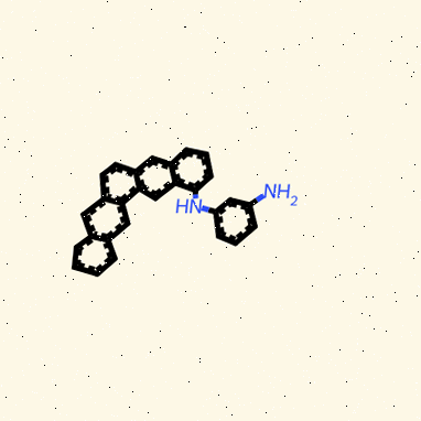 Nc1cccc(Nc2cccc3cc4ccc5cc6ccccc6cc5c4cc23)c1